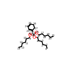 CCCCCCO[Si](OCCCCCC)(OCCCCCC)C1=CC=CCC1